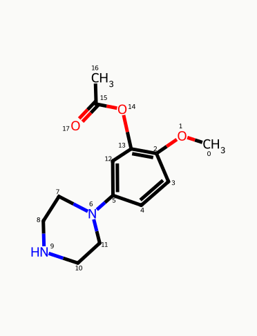 COc1ccc(N2CCNCC2)cc1OC(C)=O